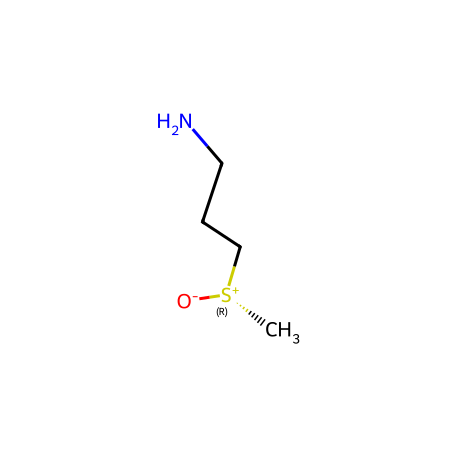 C[S@+]([O-])CCCN